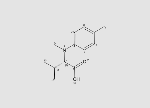 Cc1ccc(N(C)[C@H](C(=O)O)C(C)C)cc1